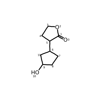 O=C1OCCC1C1CCC(O)C1